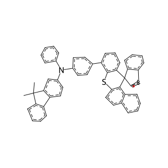 CC1(C)c2ccccc2-c2ccc(N(c3ccccc3)c3ccc(-c4cccc5c4Sc4ccc6ccccc6c4C54c5ccccc5-c5ccccc54)cc3)cc21